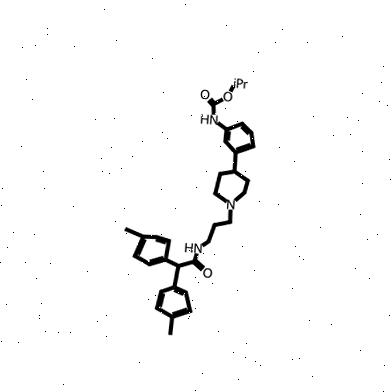 Cc1ccc(C(C(=O)NCCCN2CCC(c3cccc(NC(=O)OC(C)C)c3)CC2)c2ccc(C)cc2)cc1